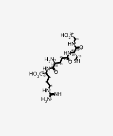 N=C(N)NCCC[C@H](NC(=O)[C@@H](N)CCC(=O)N[C@@H](CS)C(=O)NCC(=O)O)C(=O)O